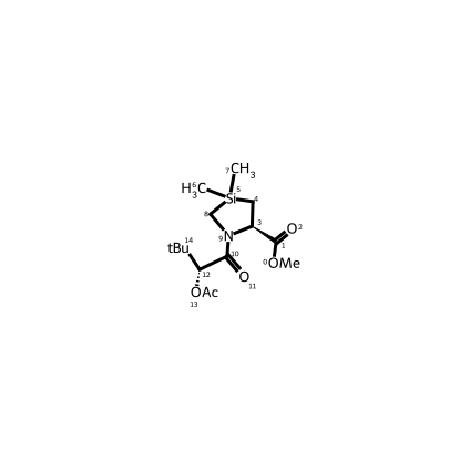 COC(=O)[C@@H]1C[Si](C)(C)CN1C(=O)[C@H](OC(C)=O)C(C)(C)C